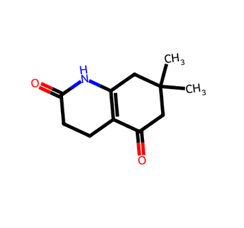 CC1(C)CC(=O)C2=C(C1)NC(=O)CC2